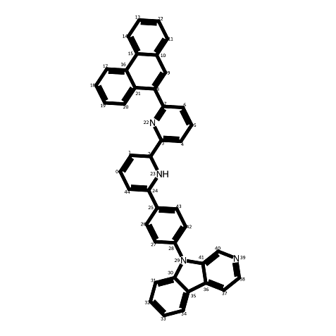 C1=CC(c2cccc(-c3cc4ccccc4c4ccccc34)n2)NC(c2ccc(-n3c4ccccc4c4ccncc43)cc2)=C1